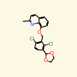 Cc1ccc2cccc(OCc3c(Cl)ccc(C4OCCO4)c3Cl)c2n1